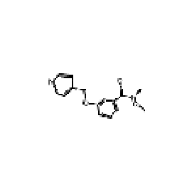 CON(C)C(=O)c1cccc(OCc2ccncc2)c1